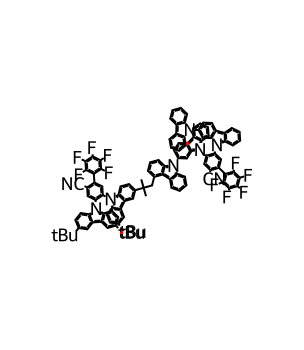 CC(C)(C)c1ccc2c(c1)c1cc(C(C)(C)C)ccc1n2-c1cc(C#N)c(-c2c(F)c(F)c(F)c(F)c2F)cc1-n1c2ccc(C(C)(C)C)cc2c2cc(C(C)(C)Cc3cccc4c3c3ccccc3n4-c3ccc4c5ccccc5n(-c5cc(C#N)c(-c6c(F)c(F)c(F)c(F)c6F)cc5-n5c6ccccc6c6ccc(-n7c8ccccc8c8ccccc87)cc65)c4c3)ccc21